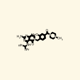 CCCC(CCC)Nc1nc(N)nc2ccn(Cc3ccc(C(=O)N4CCN(C)CC4)cc3OC)c(=O)c12